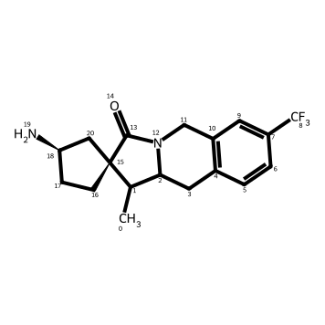 CC1C2Cc3ccc(C(F)(F)F)cc3CN2C(=O)[C@]12CC[C@@H](N)C2